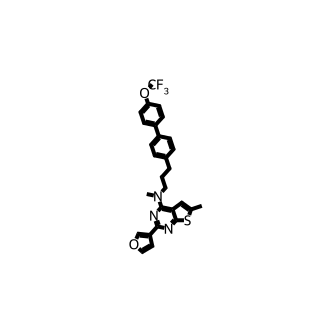 Cc1cc2c(N(C)CCCc3ccc(-c4ccc(OC(F)(F)F)cc4)cc3)nc(-c3ccoc3)nc2s1